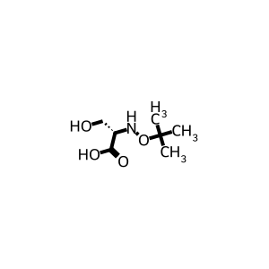 CC(C)(C)ON[C@@H](CO)C(=O)O